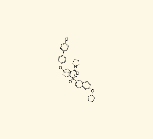 O=C([C@@H]1C[C@@H](Oc2ccc(-c3ccc(Cl)cc3)cc2)CCN1S(=O)(=O)c1ccc2cc(OC3CCCC3)ccc2c1)N1CCCC1